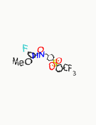 COc1cc(F)cc(C(=O)NCC2CCC(S(=O)(=O)c3cccc(C(F)(F)F)c3)CC2)c1